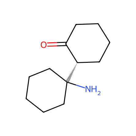 NC1([C@H]2CCCCC2=O)CCCCC1